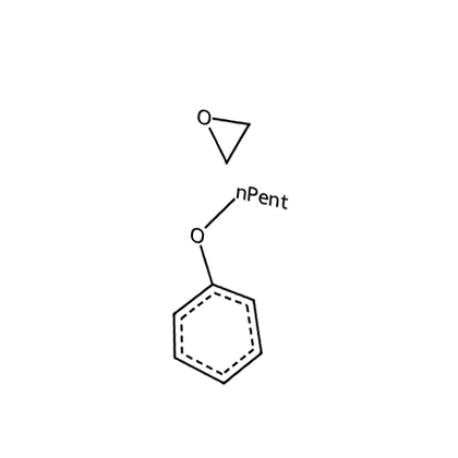 C1CO1.CCCCCOc1ccccc1